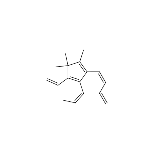 C=C/C=C\C1=C(C)C(C)(C)C(C=C)=C1/C=C\C